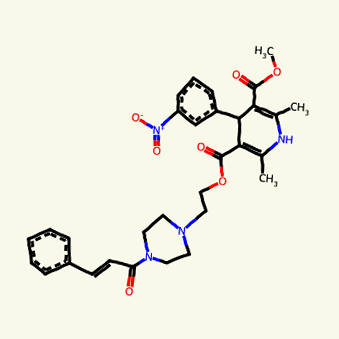 COC(=O)C1=C(C)NC(C)=C(C(=O)OCCN2CCN(C(=O)C=Cc3ccccc3)CC2)C1c1cccc([N+](=O)[O-])c1